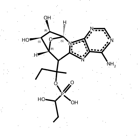 CCC(O)P(=O)(O)OC(C)(CC)C1c2nc3c(N)ncnc3n2[C@H]2O[C@H]1[C@@H](O)[C@H]2O